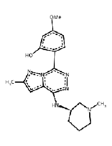 COc1ccc(-c2nnc(N[C@@H]3CCCN(C)C3)c3cc(C)nn23)c(O)c1